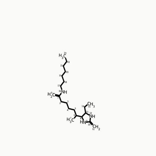 C=C(CCCCC(C)C1NC(=C)NC1CC)NCCCCCCC